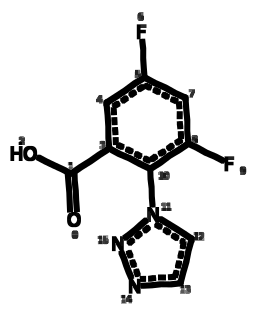 O=C(O)c1cc(F)cc(F)c1-n1ccnn1